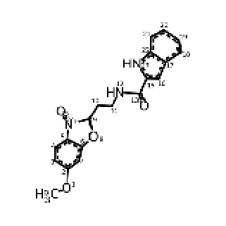 COc1ccc2c(c1)OC(CCNC(=O)c1cc3ccccc3[nH]1)[N+]2=O